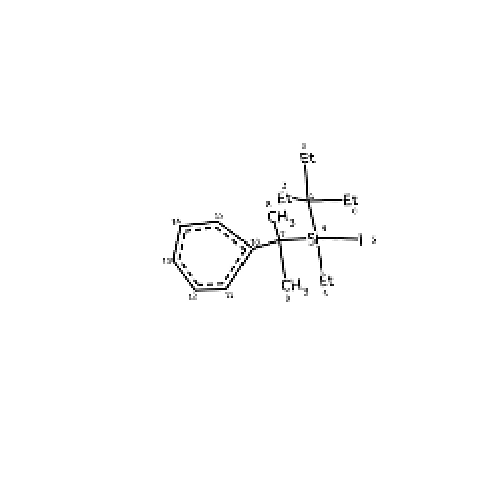 CCC(CC)(CC)[Si](I)(CC)C(C)(C)c1ccccc1